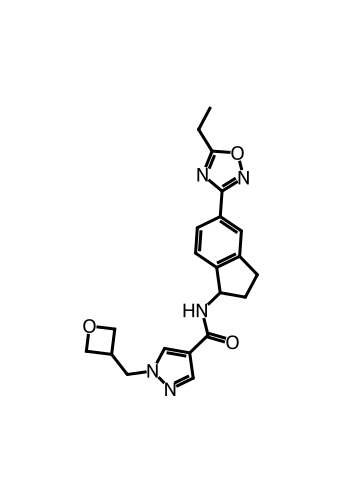 CCc1nc(-c2ccc3c(c2)CCC3NC(=O)c2cnn(CC3COC3)c2)no1